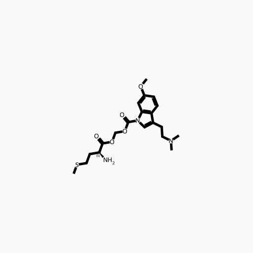 COc1ccc2c(CCN(C)C)cn(C(=O)OCOC(=O)[C@@H](N)CCSC)c2c1